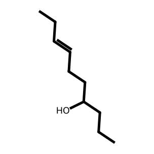 CCC=CCCC(O)CCC